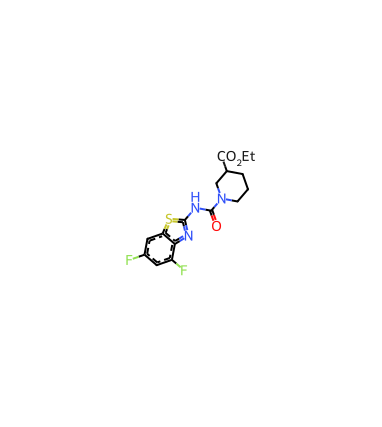 CCOC(=O)C1CCCN(C(=O)Nc2nc3c(F)cc(F)cc3s2)C1